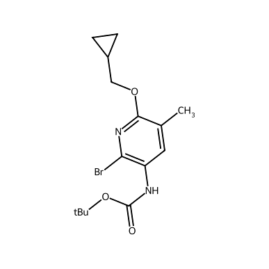 Cc1cc(NC(=O)OC(C)(C)C)c(Br)nc1OCC1CC1